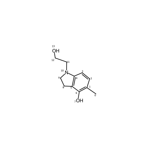 Cc1ccc2c(c1O)CCN2CCO